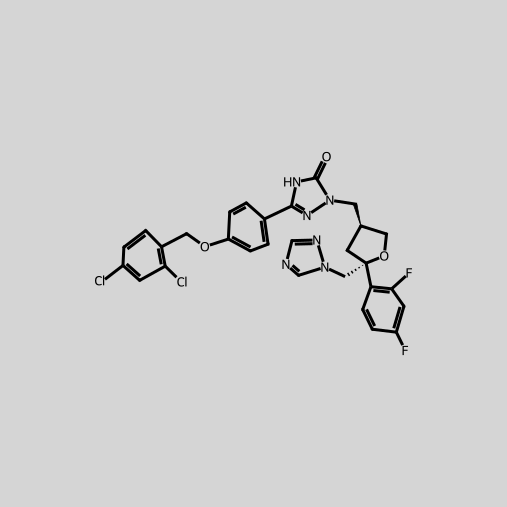 O=c1[nH]c(-c2ccc(OCc3ccc(Cl)cc3Cl)cc2)nn1C[C@H]1CO[C@@](Cn2cncn2)(c2ccc(F)cc2F)C1